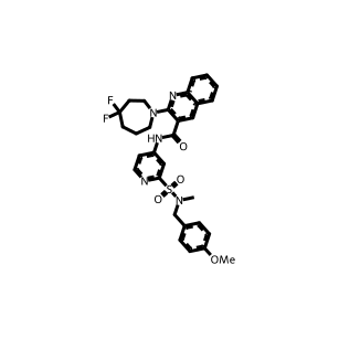 COc1ccc(CN(C)S(=O)(=O)c2cc(NC(=O)c3cc4ccccc4nc3N3CCCC(F)(F)CC3)ccn2)cc1